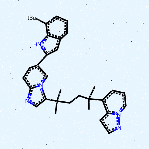 CC(C)(C)c1cccc2cc(-c3ccc4ncc(C(C)(C)CCC(C)(C)c5cccn6nccc56)n4c3)[nH]c12